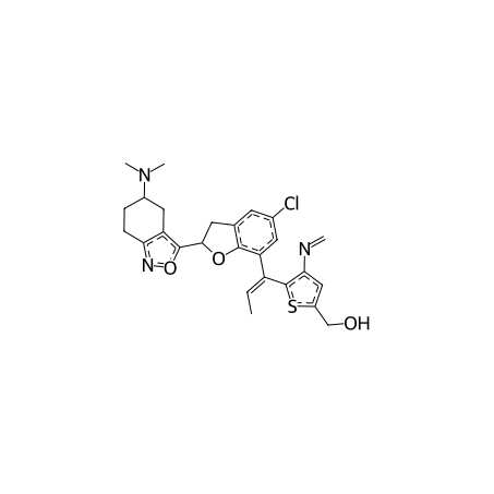 C=Nc1cc(CO)sc1/C(=C\C)c1cc(Cl)cc2c1OC(c1onc3c1CC(N(C)C)CC3)C2